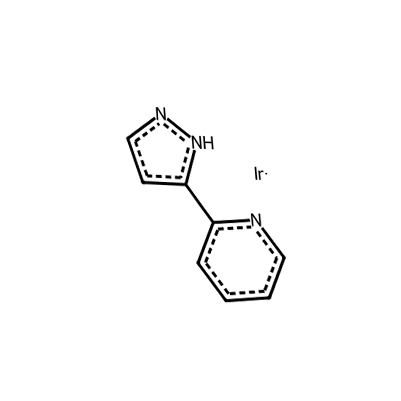 [Ir].c1ccc(-c2ccn[nH]2)nc1